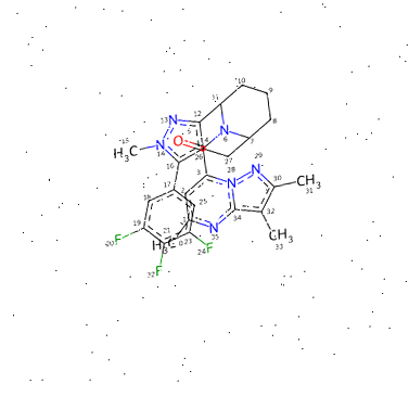 Cc1cc(C(=O)N2C3CCCC2c2nn(C)c(-c4cc(F)c(F)c(F)c4)c2C3)n2nc(C)c(C)c2n1